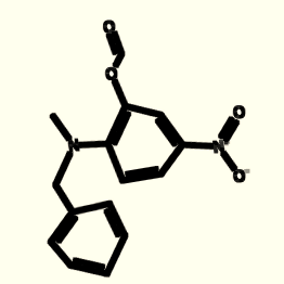 CN(Cc1ccccc1)c1ccc([N+](=O)[O-])cc1OC=O